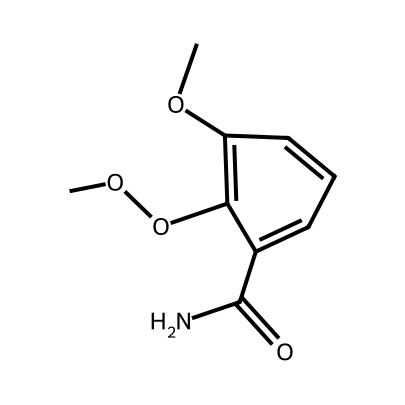 COOc1c(OC)cccc1C(N)=O